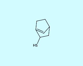 SC1CC2C=C1CC2